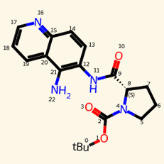 CC(C)(C)OC(=O)N1CCC[C@H]1C(=O)Nc1ccc2ncccc2c1N